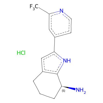 Cl.N[C@H]1CCCc2cc(-c3ccnc(C(F)(F)F)c3)[nH]c21